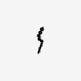 CCOCCOCCOCCc1ccc(-c2ccc(-c3ccc(-c4ccc(-c5ccc(C)cc5)cc4)s3)s2)s1